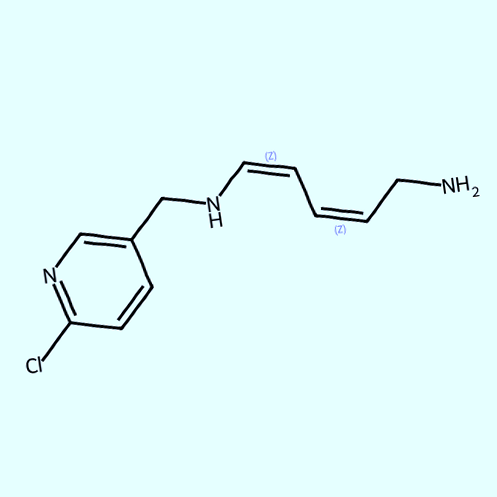 NC/C=C\C=C/NCc1ccc(Cl)nc1